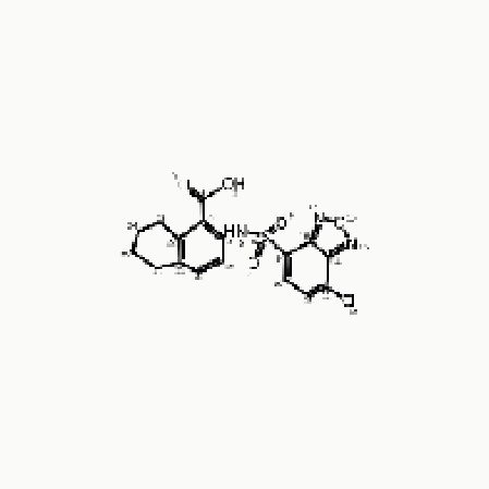 O=C(O)c1c(NS(=O)(=O)c2ccc(Cl)c3nonc23)ccc2c1CCCC2